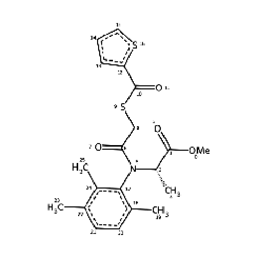 COC(=O)[C@H](C)N(C(=O)CSC(=O)c1cccs1)c1c(C)ccc(C)c1C